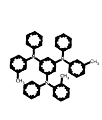 Cc1cccc(N(c2ccccc2)c2cc(N(c3ccccc3)c3cccc(C)c3)cc(N(c3ccccc3)c3ccccc3C)c2)c1